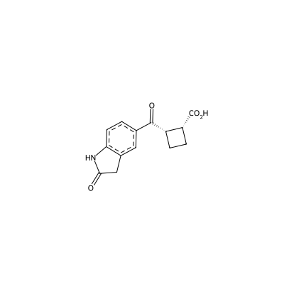 O=C1Cc2cc(C(=O)[C@H]3CC[C@H]3C(=O)O)ccc2N1